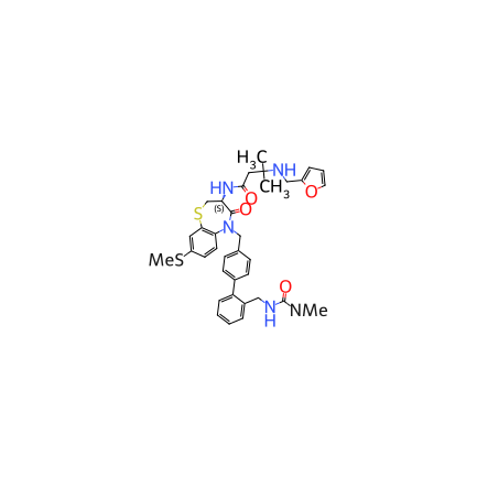 CNC(=O)NCc1ccccc1-c1ccc(CN2C(=O)[C@H](NC(=O)CC(C)(C)NCc3ccco3)CSc3cc(SC)ccc32)cc1